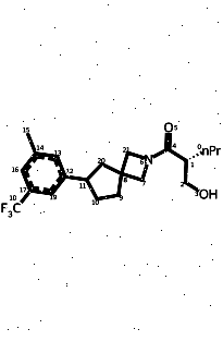 CCC[C@H](CO)C(=O)N1CC2(CCC(c3cc(C)cc(C(F)(F)F)c3)C2)C1